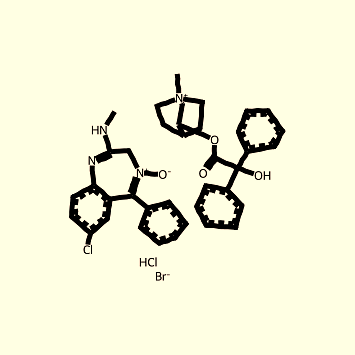 CNC1=Nc2ccc(Cl)cc2C(c2ccccc2)=[N+]([O-])C1.C[N+]12CCC(CC1)C(OC(=O)C(O)(c1ccccc1)c1ccccc1)C2.Cl.[Br-]